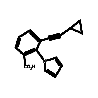 O=C(O)c1cccc(C#CC2CC2)c1-n1cccc1